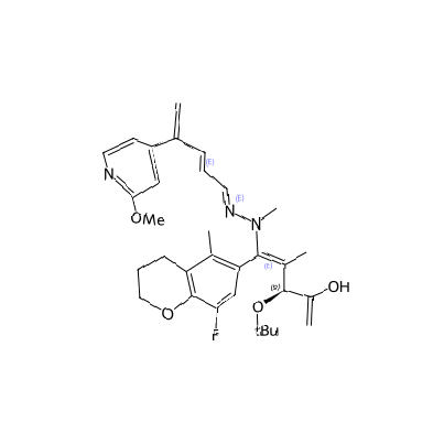 C=C(/C=C/C=N/N(C)/C(=C(\C)[C@H](OC(C)(C)C)C(=C)O)c1cc(F)c2c(c1C)CCCO2)c1ccnc(OC)c1